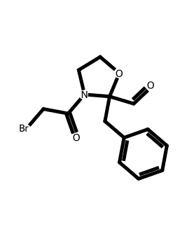 O=CC1(Cc2ccccc2)OCCN1C(=O)CBr